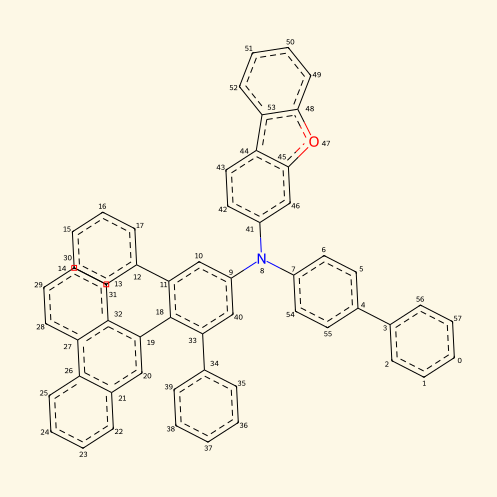 c1ccc(-c2ccc(N(c3cc(-c4ccccc4)c(-c4cc5ccccc5c5ccccc45)c(-c4ccccc4)c3)c3ccc4c(c3)oc3ccccc34)cc2)cc1